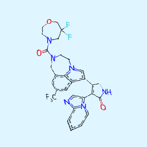 O=C1NCC(c2cn3c4c(cc(C(F)(F)F)cc24)CN(C(=O)N2CCOCC(F)(F)C2)CC3)=C1c1cnc2ccccn12